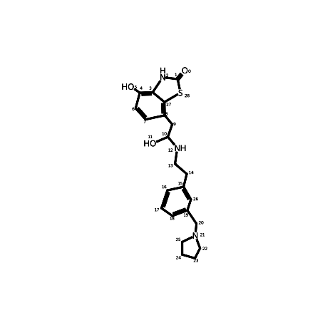 O=c1[nH]c2c(O)ccc(CC(O)NCCc3cccc(CN4CCCC4)c3)c2s1